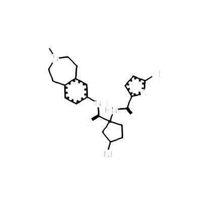 CN1CCc2ccc(NC(=O)C3(NC(=O)c4ccc(Cl)s4)CCC(N)C3)cc2CC1